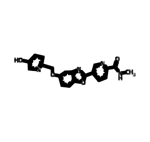 CNC(=O)c1ccc(-c2nc3cc(OCc4ccc(O)cn4)ccc3o2)cn1